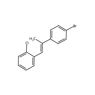 CC(=Cc1ccccc1Cl)c1ccc(Br)cc1